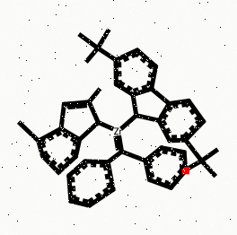 CC1=Cc2c(C)cccc2[CH]1[Zr](=[C](c1ccccc1)c1ccccc1)[CH]1c2cc(C(C)(C)C)ccc2-c2ccc(C(C)(C)C)cc21